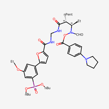 CCCCC[C@@H](C(=O)NCNC(=O)c1ccc(-c2cc(OCC)cc(P(=O)(OCCCC)OCCCC)c2)o1)[C@@H](CC)N(C=O)OC(=O)c1ccc(N2CCCC2)cc1